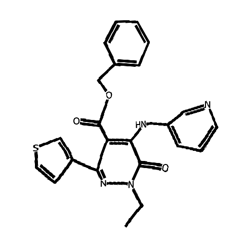 CCn1nc(-c2ccsc2)c(C(=O)OCc2ccccc2)c(Nc2cccnc2)c1=O